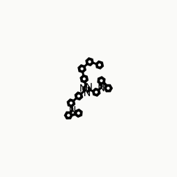 c1ccc(-c2cccc(-c3cccc(-c4ccc(-c5nc(-c6ccc(-c7cccc(-n8c9ccccc9c9ccccc98)c7)cc6)nc(-c6cccc(-n7c8ccccc8c8ccccc87)c6)n5)cc4)c3)c2)cc1